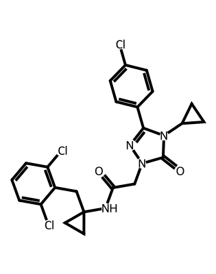 O=C(Cn1nc(-c2ccc(Cl)cc2)n(C2CC2)c1=O)NC1(Cc2c(Cl)cccc2Cl)CC1